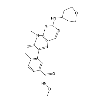 CONC(=O)c1ccc(C)c(-c2cc3cnc(NC4CCOCC4)nc3n(C)c2=O)c1